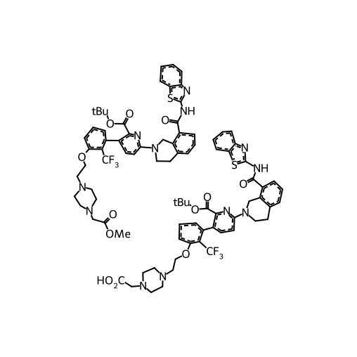 CC(C)(C)OC(=O)c1nc(N2CCc3cccc(C(=O)Nc4nc5ccccc5s4)c3C2)ccc1-c1cccc(OCCN2CCN(CC(=O)O)CC2)c1C(F)(F)F.COC(=O)CN1CCN(CCOc2cccc(-c3ccc(N4CCc5cccc(C(=O)Nc6nc7ccccc7s6)c5C4)nc3C(=O)OC(C)(C)C)c2C(F)(F)F)CC1